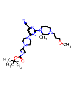 COCCCN1CCCN(c2nc(C#N)cc(N3CCN(C4CN(C(=O)OC(C)(C)C)C4)CC3)n2)[C@@H](C)C1